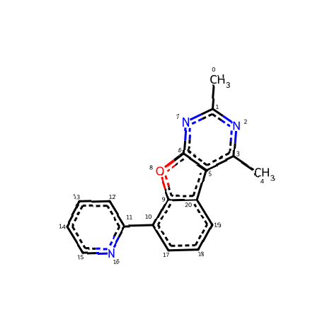 Cc1nc(C)c2c(n1)oc1c(-c3ccccn3)cccc12